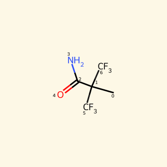 CC(C(N)=O)(C(F)(F)F)C(F)(F)F